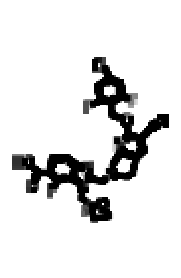 N#Cc1cc2c(nc1OCc1c(F)cc(Cl)cc1F)CN(Cc1nc3ccc(C(=O)O)c(F)c3n1C[C@@H]1CCO1)CC2